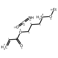 C=CC(=O)OCCC[SiH2]OCC.N=C=O